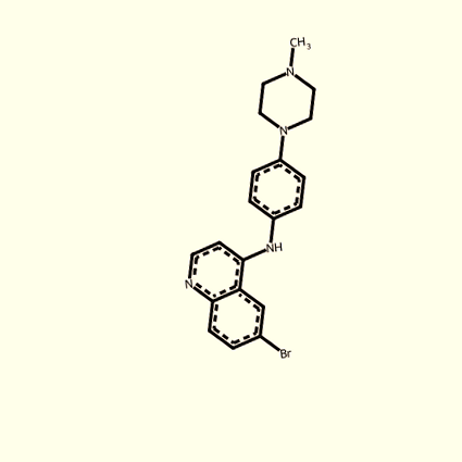 CN1CCN(c2ccc(Nc3ccnc4ccc(Br)cc34)cc2)CC1